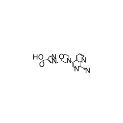 C[C@@H]1CN(c2cnc(C#N)c3ncccc23)C[C@H](Cn2cc(C(=O)O)cn2)O1